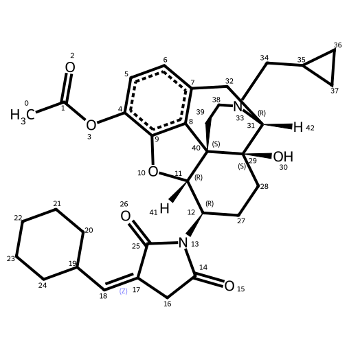 CC(=O)Oc1ccc2c3c1O[C@H]1[C@H](N4C(=O)C/C(=C/C5CCCCC5)C4=O)CC[C@@]4(O)[C@@H](C2)N(CC2CC2)CC[C@]314